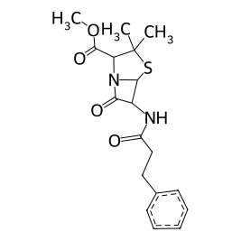 COC(=O)C1N2C(=O)C(NC(=O)CCc3ccccc3)C2SC1(C)C